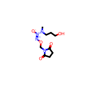 CN(CCCO)/[N+]([O-])=N\OCN1C(=O)CCC1=O